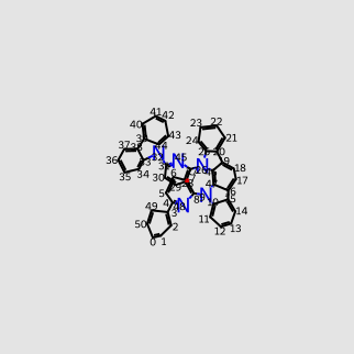 c1ccc(-c2cccc(-n3c4ccccc4c4ccc5c6ccccc6n(-c6cccc(-n7c8ccccc8c8ccccc87)n6)c5c43)n2)cc1